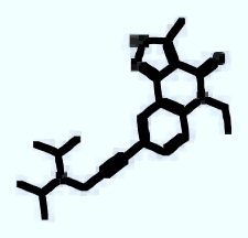 CCn1c(=O)c2c(C)[nH]nc2c2cc(C#CCN(C(C)C)C(C)C)ccc21